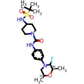 C[C@H]1CN(c2ccc(NC(=O)N3CCC(NS(=O)(=O)C(C)(C)C)CC3)cc2)C(F)[C@@H](C)O1